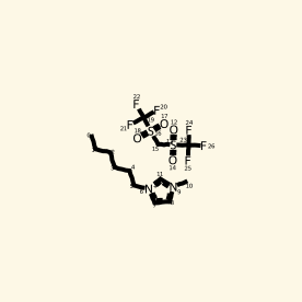 CCCCCC[n+]1ccn(C)c1.O=S(=O)(CS(=O)(=O)C(F)(F)F)C(F)(F)F